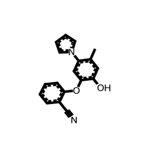 Cc1cc(O)c(Oc2ccccc2C#N)cc1-n1cccc1